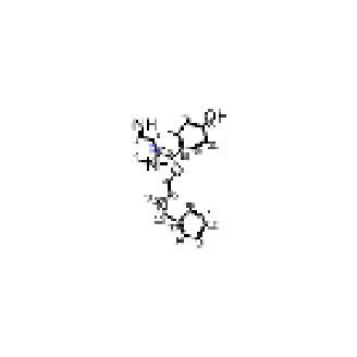 CN/C(=C\C=N)C(OCCN(C)Cc1ccccc1)c1ccc(O)cc1